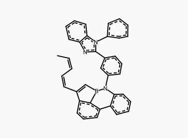 C/C=C\C=C/C1=CB2c3c1cccc3-c1ccccc1N2c1cccc(-c2nc3ccccc3n2-c2ccccc2)c1